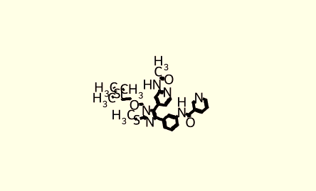 CSc1nc(-c2cccc(NC(=O)c3cccnc3)c2)c(-c2ccnc(NC(C)=O)c2)n1COCC[Si](C)(C)C